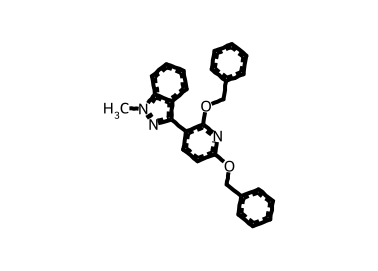 Cn1nc(-c2ccc(OCc3ccccc3)nc2OCc2ccccc2)c2ccccc21